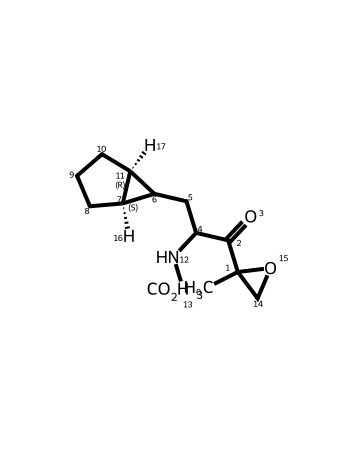 CC1(C(=O)C(CC2[C@H]3CCC[C@@H]23)NC(=O)O)CO1